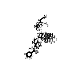 COC1[C@@H](COP(=O)(OC)OCCC#N)O[C@@H](n2cnc3c(NC(=O)c4ccccc4)ncnc32)[C@H]1O[Si](C)(C)C(C)(C)C